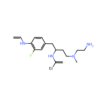 C=CNc1ccc(CC(CCN(C)CCN)NC(=C)CC)cc1F